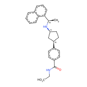 C[C@@H](N[C@H]1CC[C@@H](c2ccc(C(=O)NCC(=O)O)cc2)C1)c1cccc2ccccc12